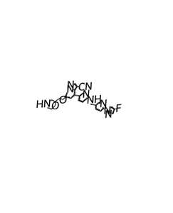 N#Cc1cnn2cc(OCC3CNCCO3)cc(-c3ccc(NCc4ccc(-n5cc(F)cn5)nc4)nc3)c12